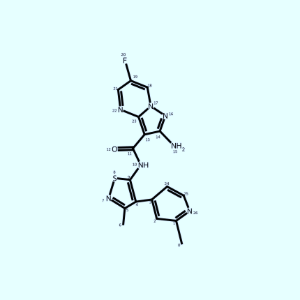 Cc1cc(-c2c(C)nsc2NC(=O)c2c(N)nn3cc(F)cnc23)ccn1